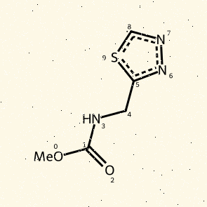 COC(=O)NCc1nn[c]s1